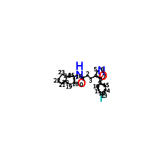 O=C(CCc1cnoc1-c1ccc(F)cc1)NC1=CCC2=CCCC2=C1